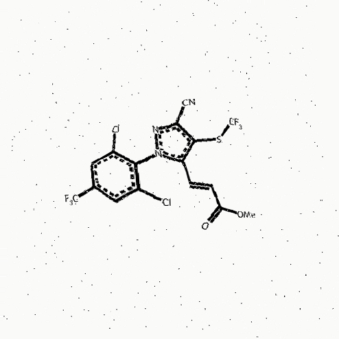 COC(=O)C=Cc1c(SC(F)(F)F)c(C#N)nn1-c1c(Cl)cc(C(F)(F)F)cc1Cl